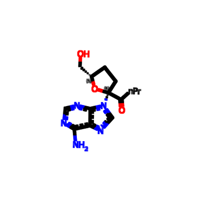 CCCC(=O)[C@]1(n2cnc3c(N)ncnc32)CC[C@@H](CO)O1